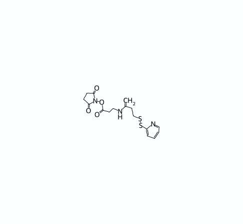 C=C(CCSSc1ccccn1)NCCC(=O)ON1C(=O)CCC1=O